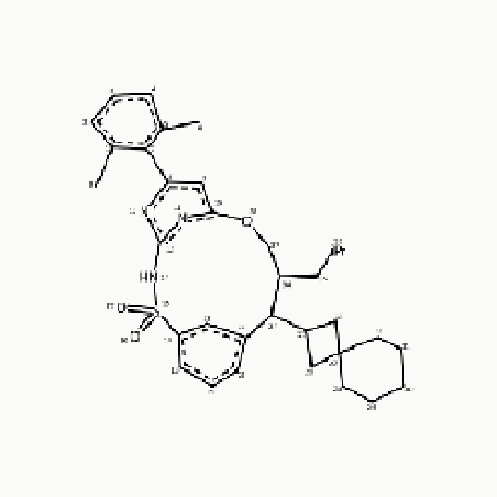 Cc1cccc(C)c1-c1cc2nc(n1)NS(=O)(=O)c1cccc(c1)C(C1CC3(CCCCC3)C1)[C@H](CC(C)C)CO2